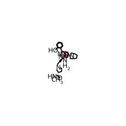 CNC(=O)[C@H]1CCN(CC#Cc2cc(N3C4CCC3CN(c3cc(-c5ccccc5O)nnc3N)C4)ccn2)C1